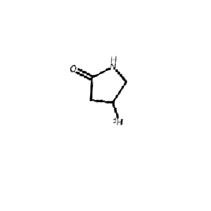 [2H]C1CNC(=O)C1